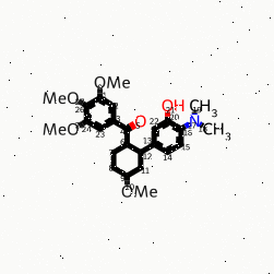 COc1cc(C(=O)C2CCC(OC)CC2c2ccc(N(C)C)c(O)c2)cc(OC)c1OC